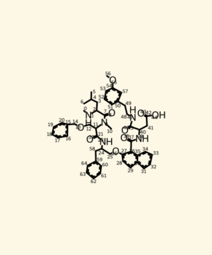 CNC(CC(C)C)C(=O)N(C)C(COCc1ccccc1)C(=O)NC(COc1ccc2ccccc2c1C(=O)NC(CC(=O)O)C(=O)NCCc1cccc(OC)c1)Cc1ccccc1